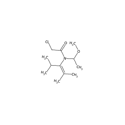 COC(C)N(C(=O)CCl)C(=C(C)C)C(C)C